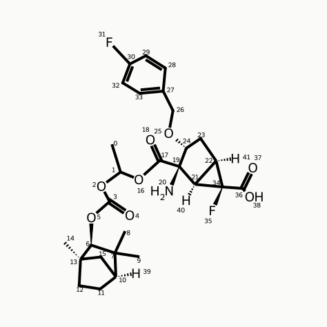 CC(OC(=O)O[C@H]1C(C)(C)[C@H]2CC[C@]1(C)C2)OC(=O)[C@@]1(N)[C@H]2[C@@H](C[C@H]1OCc1ccc(F)cc1)[C@]2(F)C(=O)O